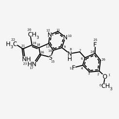 COc1cc(F)c(CNc2ncnc3c2SC(=N)/C3=C(/C)C(C)=N)c(F)c1